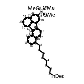 CCCCCCCCCCCCCCCCCCc1cccc2c3c(ccc12)-c1cc([Si](OC)(OC)OC)cc2cccc-3c12